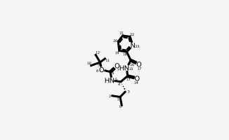 CC(C)C[C@H](NC(=O)OC(C)(C)C)C(=O)NC(=O)c1ccccn1